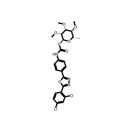 CO[C@@H]1[C@@H](OC)[C@H](C)O[C@@H](OC(=O)Nc2ccc(-c3nnc(-c4ccc(Cl)cc4Cl)o3)cc2)[C@@H]1OC